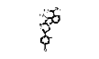 C=C(C)c1cccc2c1n(C)c(=N)n2CC(=O)c1ccc(Cl)cc1Cl